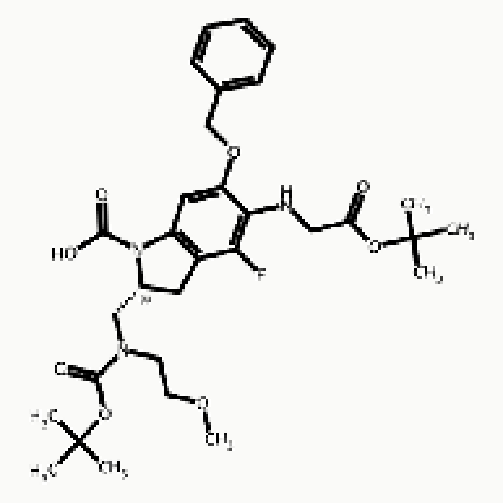 COCCN(C[C@H]1Cc2c(cc(OCc3ccccc3)c(NCC(=O)OC(C)(C)C)c2F)N1C(=O)O)C(=O)OC(C)(C)C